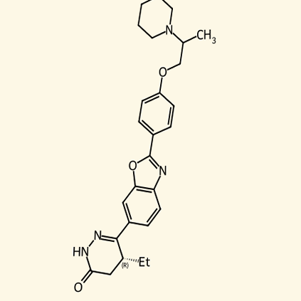 CC[C@@H]1CC(=O)NN=C1c1ccc2nc(-c3ccc(OCC(C)N4CCCCC4)cc3)oc2c1